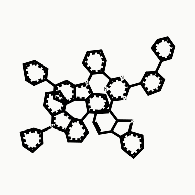 C1=CC2c3ccccc3SC2C(c2nc(-c3cccc(-c4ccccc4)c3)nc(-c3ccccc3-n3c4cc(-c5ccccc5)ccc4c4c(-c5cccc6c5c5ccccc5n6-c5ccccc5)cccc43)n2)=C1